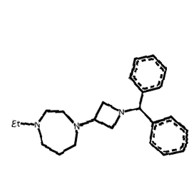 CCN1CCCN(C2CN(C(c3ccccc3)c3ccccc3)C2)CC1